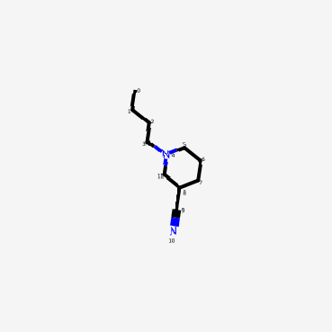 CCCCN1CCCC(C#N)C1